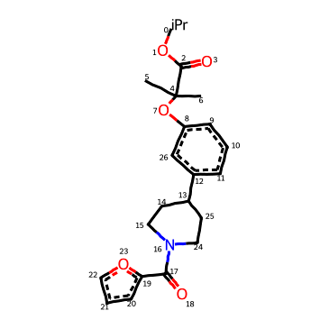 CC(C)OC(=O)C(C)(C)Oc1cccc(C2CCN(C(=O)c3ccco3)CC2)c1